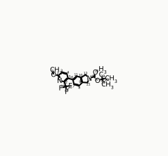 COc1ccc(-c2ccc3c(c2)CN(C(=O)OC(C)(C)C)C3)c(C(F)(F)F)n1